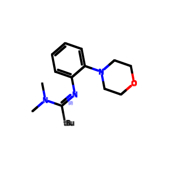 CN(C)/C(=N\c1ccccc1N1CCOCC1)C(C)(C)C